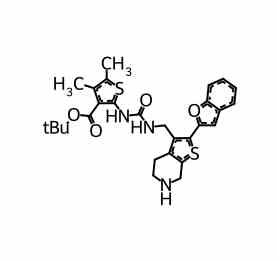 Cc1sc(NC(=O)NCc2c(-c3cc4ccccc4o3)sc3c2CCNC3)c(C(=O)OC(C)(C)C)c1C